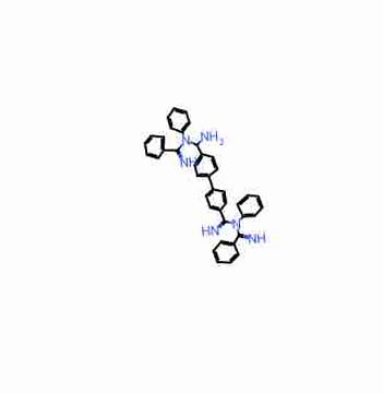 N=C(c1ccccc1)N(C(=N)c1ccc(-c2ccc(C(N)N(C(=N)c3ccccc3)c3ccccc3)cc2)cc1)c1ccccc1